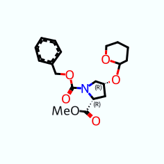 COC(=O)[C@H]1C[C@@H](OC2CCCCO2)CN1C(=O)OCc1ccccc1